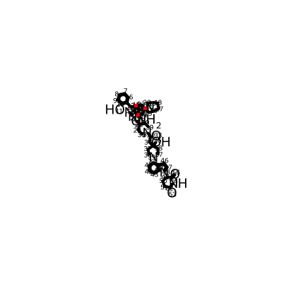 Nc1nnc(-c2ccccc2O)cc1N1CC2CCC(C1)N2c1cccc(OC2CCN(C(=O)CC3(O)CCN(c4cccc5c4ccn5C4CCC(=O)NC4=O)CC3)CC2)c1